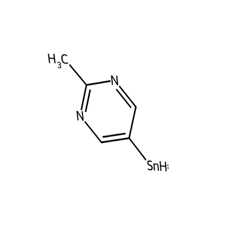 Cc1nc[c]([SnH])cn1